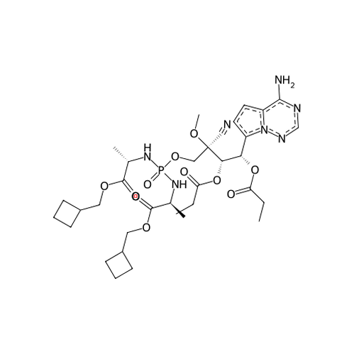 CCC(=O)O[C@@H](c1ccc2c(N)ncnn12)[C@H](OC(=O)CC)[C@@](C#N)(COP(=O)(N[C@@H](C)C(=O)OCC1CCC1)N[C@@H](C)C(=O)OCC1CCC1)OC